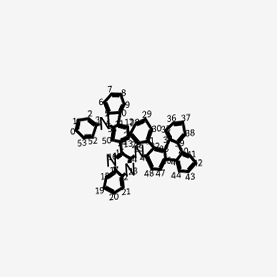 c1ccc(-n2c3ccccc3c3ccc(-c4nc5ccccc5nc4-n4c5ccccc5c5c6c7ccccc7c7ccccc7c6ccc54)cc32)cc1